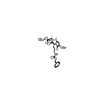 COC1CC(=O)N([C@@H](CCCNC(=O)OCc2ccccc2)C(=O)N[C@@H](C)C(=O)OC(C)(C)C)C1=O